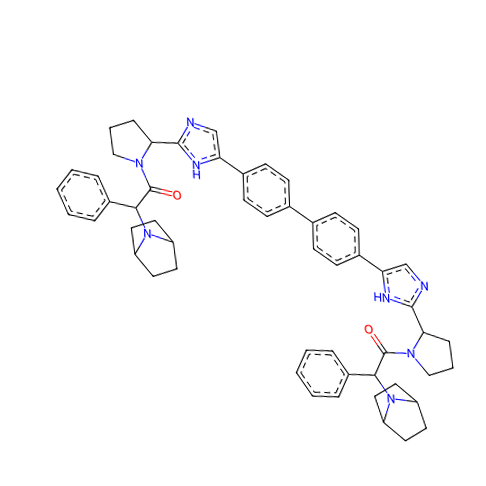 O=C(C(c1ccccc1)N1C2CCC1CC2)N1CCCC1c1ncc(-c2ccc(-c3ccc(-c4cnc(C5CCCN5C(=O)C(c5ccccc5)N5C6CCC5CC6)[nH]4)cc3)cc2)[nH]1